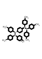 Cc1ccc([N+](=C2C=CC(=[N+](c3ccc(C)cc3)P(c3ccc(C)cc3)c3ccc(C)cc3)C=C2)P(c2ccc(C)cc2)c2ccc(C)cc2)cc1